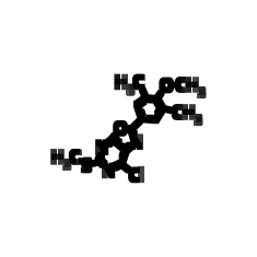 COc1c(C)cc(-c2nc3c(Cl)nc(SC)nc3o2)cc1C